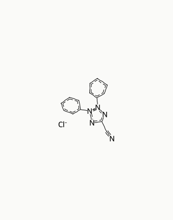 N#Cc1nn(-c2ccccc2)[n+](-c2ccccc2)n1.[Cl-]